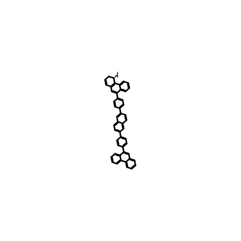 I[C@@H]1CC=Cc2cc(-c3ccc(-c4ccc5cc(-c6ccc(-c7cc8ccccc8c8ccccc78)cc6)ccc5c4)cc3)c3ccccc3c21